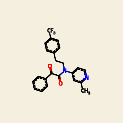 Cc1cc(N(CCc2ccc(C(F)(F)F)cc2)C(=O)C(=O)c2ccccc2)ccn1